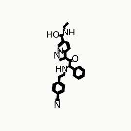 CCNC(O)c1ccc2c(C(=O)[C@H](NCCc3ccc(C#N)cc3)c3ccccc3)cnn2c1